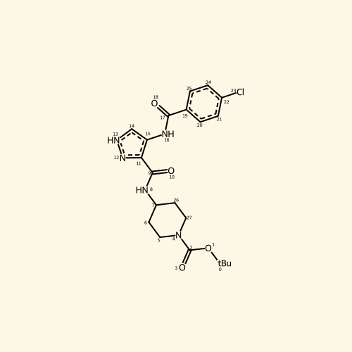 CC(C)(C)OC(=O)N1CCC(NC(=O)c2n[nH]cc2NC(=O)c2ccc(Cl)cc2)CC1